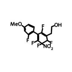 COc1ccc(C2=C(F)C(F)([N+](=O)[O-])C(F)C(CCO)=C2F)c(F)c1